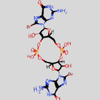 Nc1nc2c(nc(Br)n2[C@@H]2O[C@@H]3COP(=O)(O)OC4[C@@H](COP(=O)(O)O[C@@H]3C2O)O[C@@H](n2c(Br)nc3c(=O)[nH]c(N)nc32)[C@H]4O)c(=O)[nH]1